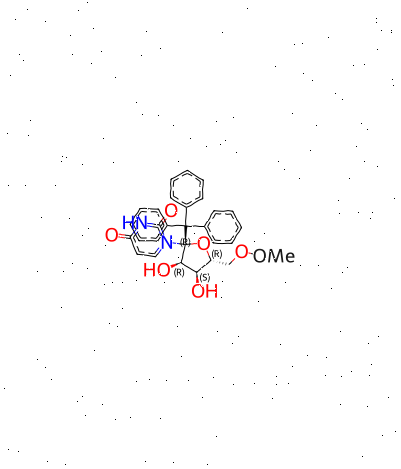 COOC[C@H]1O[C@](n2ccc(=O)[nH]c2=O)(C(c2ccccc2)(c2ccccc2)c2ccccc2)[C@H](O)[C@@H]1O